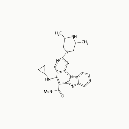 CNC(=O)c1c(NC2CC2)c2cnc(N3CC(C)NC(C)C3)nc2n2c1nc1ccccc12